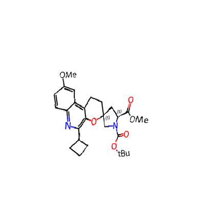 COC(=O)[C@@H]1C[C@@]2(CCc3c(c(C4CCC4)nc4ccc(OC)cc34)O2)CN1C(=O)OC(C)(C)C